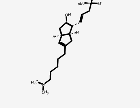 CCCC[C@@](O)(CC)C/C=C/[C@@H]1[C@H]2CC(CCCCCN(C)C)=C[C@H]2C[C@H]1O